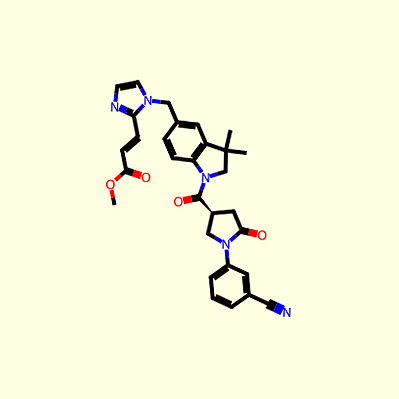 COC(=O)/C=C/c1nccn1Cc1ccc2c(c1)C(C)(C)CN2C(=O)[C@H]1CC(=O)N(c2cccc(C#N)c2)C1